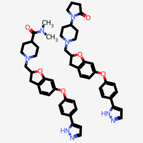 CN(C)C(=O)C1CCN(CC2Cc3ccc(Oc4ccc(-c5ccn[nH]5)cc4)cc3O2)CC1.O=C1CCCN1C1CCN(CC2Cc3ccc(Oc4ccc(-c5ccn[nH]5)cc4)cc3O2)CC1